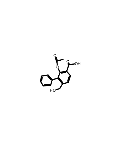 CC(=O)Oc1c(C(=O)O)ccc(CO)c1-c1ccccc1